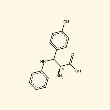 N[C@H](C(=O)O)C(Nc1ccccc1)c1ccc(O)cc1